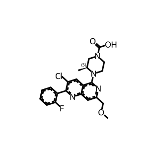 COCc1cc2nc(-c3ccccc3F)c(Cl)cc2c(N2CCN(C(=O)O)C[C@@H]2C)n1